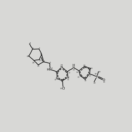 CC1CC2=C(CNc3nc(Cl)nc(Nc4ccc(P(C)(C)=O)cc4)n3)CC(C2)C1